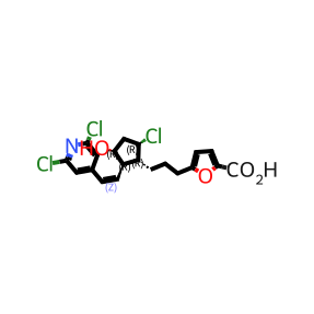 O=C(O)c1ccc(CCC[C@@H]2[C@@H](/C=C\c3cc(Cl)nc(Cl)c3)[C@H](O)C[C@H]2Cl)o1